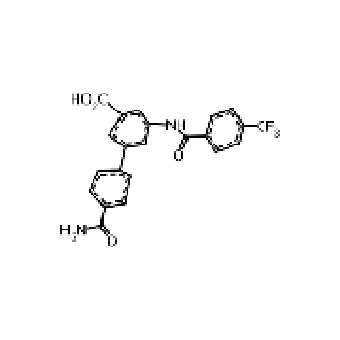 NC(=O)c1ccc(-c2cc(NC(=O)c3ccc(C(F)(F)F)cc3)cc(C(=O)O)c2)cc1